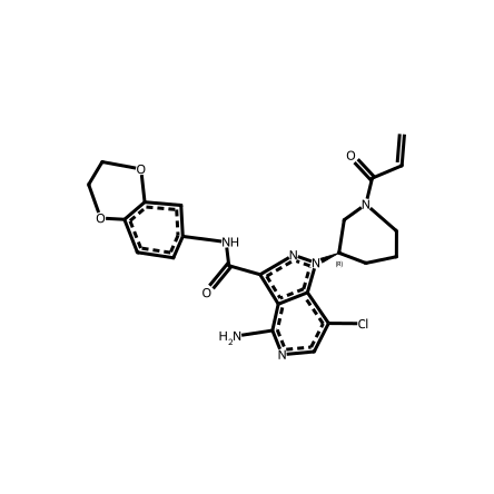 C=CC(=O)N1CCC[C@@H](n2nc(C(=O)Nc3ccc4c(c3)OCCO4)c3c(N)ncc(Cl)c32)C1